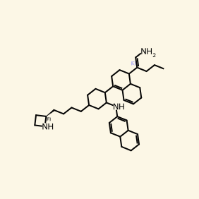 CCC/C(=C\N)C1CCC(C2CCC(CCCC[C@@H]3CCN3)CC2NC2=CC3C=CCCC3C=C2)=C2C=CCCC21